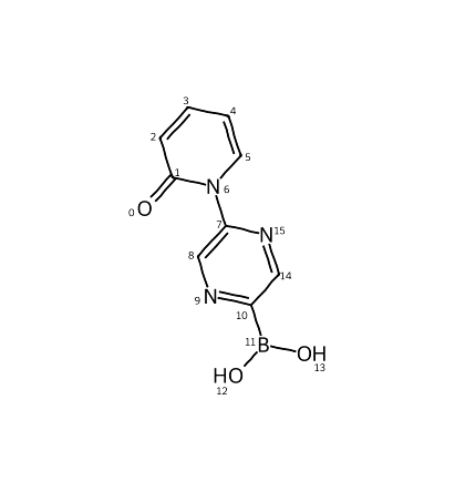 O=c1ccccn1-c1cnc(B(O)O)cn1